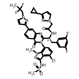 Cn1nc(NS(C)(=O)=O)c2c(Cl)ccc(-n3c([C@H](Cc4cc(F)cc(F)c4)NC(=O)Cn4ccc(C5CC5)n4)nc4cc(-c5ccn(CC(C)(F)F)n5)ccc4c3=O)c21